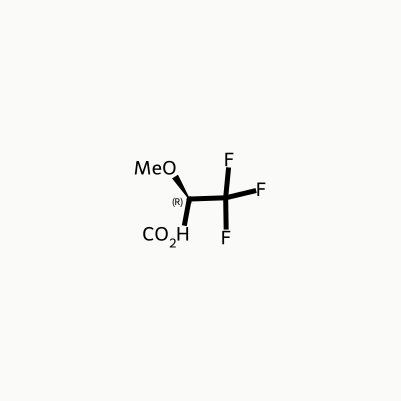 CO[C@H](C(=O)O)C(F)(F)F